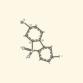 O=S1(=O)c2ccc(I)cc2-c2ccc(Br)cc21